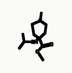 COC(=O)C1(NC(C)C)CCN(C)CC1